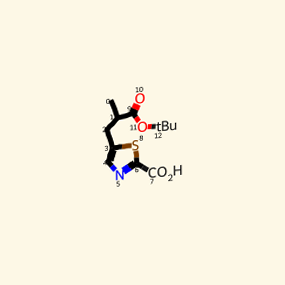 CC(Cc1cnc(C(=O)O)s1)C(=O)OC(C)(C)C